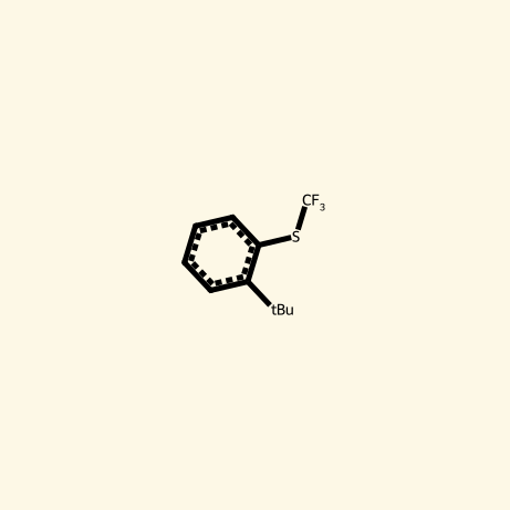 CC(C)(C)c1ccccc1SC(F)(F)F